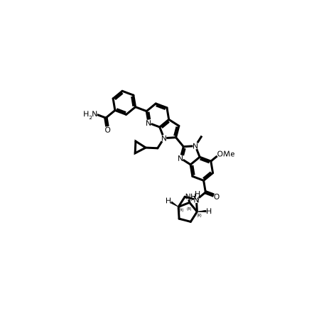 COc1cc(C(=O)N2C[C@H]3CC[C@@H]2[C@@H]3N)cc2nc(-c3cc4ccc(-c5cccc(C(N)=O)c5)nc4n3CC3CC3)n(C)c12